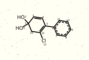 OC1(O)C=CC(c2ccccc2)=C(Cl)C1